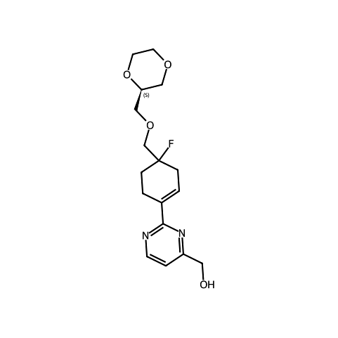 OCc1ccnc(C2=CCC(F)(COC[C@@H]3COCCO3)CC2)n1